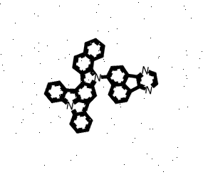 c1ccc2c(c1)ccc1c3c4c5ccccc5n5c6ccccc6c(cc3n(-c3ccc6c7c(cccc37)-c3nccnc3-6)c21)c45